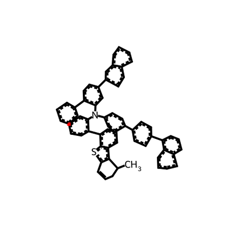 CC1CC=Cc2sc3c(-c4ccccc4N(c4ccc(-c5ccc(-c6cccc7ccccc67)cc5)cc4)c4cc(-c5ccc6ccccc6c5)ccc4-c4ccccc4)cccc3c21